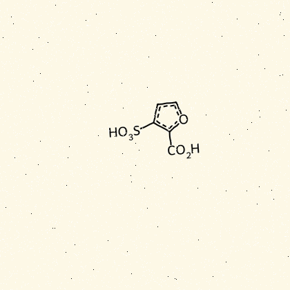 O=C(O)c1occc1S(=O)(=O)O